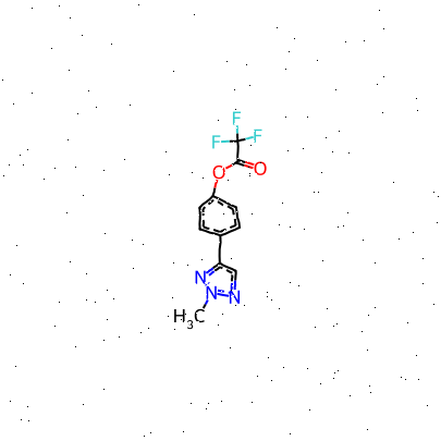 Cn1ncc(-c2ccc(OC(=O)C(F)(F)F)cc2)n1